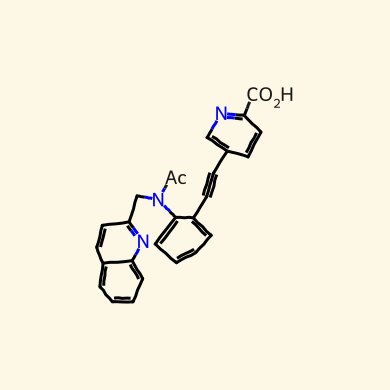 CC(=O)N(Cc1ccc2ccccc2n1)c1ccccc1C#Cc1ccc(C(=O)O)nc1